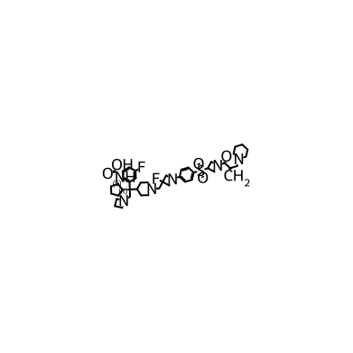 C=C(CN1CCCCC1)C(=O)N1CC(S(=O)(=O)c2ccc(N3CC(F)(CN4CCC(C(CN5CCC5)(c5cccc(F)c5)[C@H]5CCC[C@@H]5NC(=O)O)CC4)C3)cc2)C1